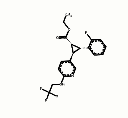 CCOC(=O)[C@H]1[C@H](c2ccc(NCC(F)(F)F)nc2)[C@H]1c1ccccc1F